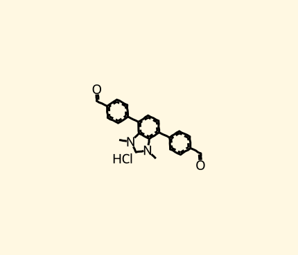 CN1CN(C)c2c(-c3ccc(C=O)cc3)ccc(-c3ccc(C=O)cc3)c21.Cl